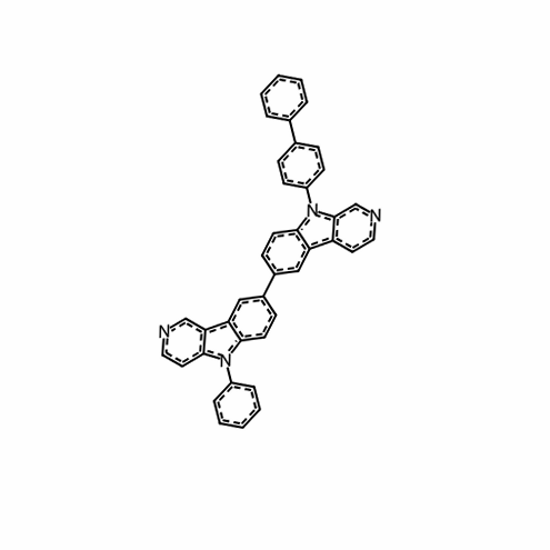 c1ccc(-c2ccc(-n3c4ccc(-c5ccc6c(c5)c5cnccc5n6-c5ccccc5)cc4c4ccncc43)cc2)cc1